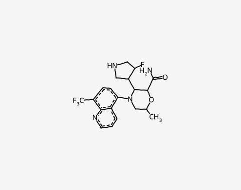 CC1CN(c2ccc(C(F)(F)F)c3ncccc23)C(C2CNCC2F)C(C(N)=O)O1